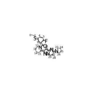 CCSc1ccc(F)c(C(=O)N2CCCCC2c2cc3nc(N4CCCC4)c(C)cn3n2)c1